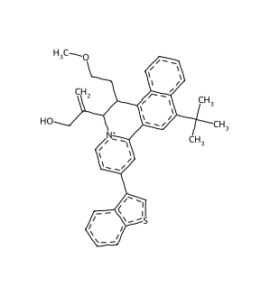 C=C(CO)C1C(CCOC)c2c(cc(C(C)(C)C)c3ccccc23)-c2cc(-c3csc4ccccc34)cc[n+]21